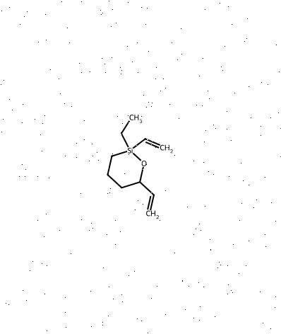 C=CC1CCC[Si](C=C)(CC)O1